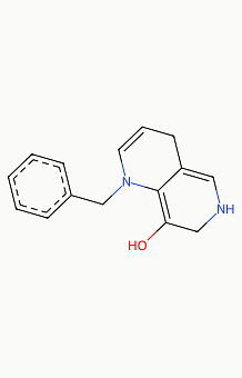 OC1=C2C(=CNC1)CC=CN2Cc1ccccc1